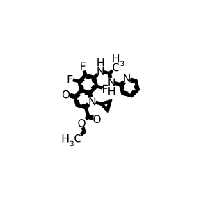 CCOC(=O)c1cc(=O)c2c(F)c(F)c(NC(C)Nc3ccccn3)c(F)c2n1C1CC1